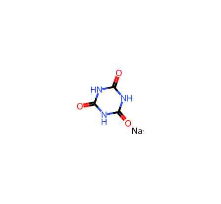 O=c1[nH]c(=O)[nH]c(=O)[nH]1.[Na]